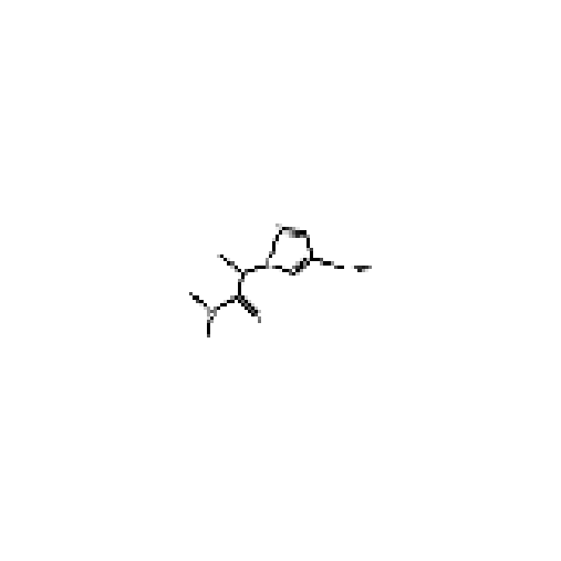 CCCC(C)c1cnn(C(C)C(=O)N(C)C)c1